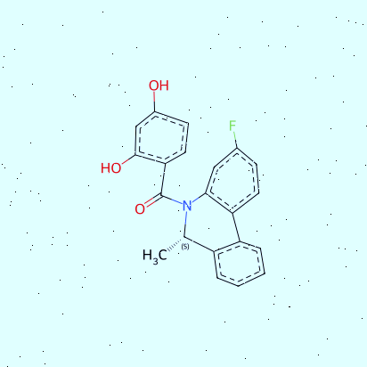 C[C@H]1c2ccccc2-c2ccc(F)cc2N1C(=O)c1ccc(O)cc1O